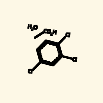 CC(=O)O.Clc1ccc(Cl)c(Cl)c1.O